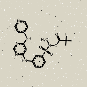 CN(OC(=O)C(F)(F)F)S(=O)(=O)c1cccc(Nc2cc(Nc3ccncc3)ncn2)c1